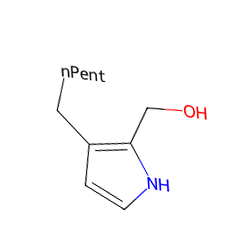 CCCCCCc1cc[nH]c1CO